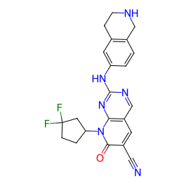 N#Cc1cc2cnc(Nc3ccc4c(c3)CCNC4)nc2n(C2CCC(F)(F)C2)c1=O